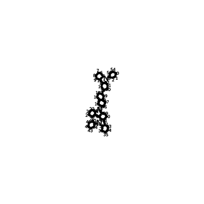 c1ccc(-n2c3ccccc3c3cc(-c4ccc5cc(-n6c7ccccc7c7c6ccc6c8ccccc8n(-c8ccccc8)c67)ccc5c4)ccc32)cc1